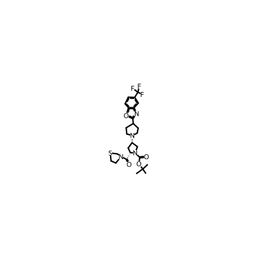 CC(C)(C)OC(=O)N1C[C@@H](N2CCC(c3nc4cc(C(F)(F)F)ccc4o3)CC2)C[C@H]1C(=O)N1CCSC1